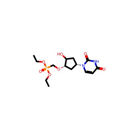 CCOP(=O)(CO[C@H]1C[C@@H](n2ccc(=O)[nH]c2=O)CC1O)OCC